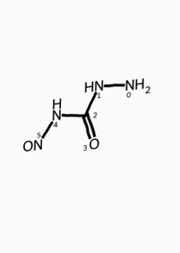 NNC(=O)NN=O